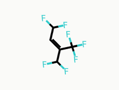 FC(F)C=C(C(F)F)C(F)(F)F